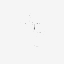 O=C1O[C@H](C(O)COP(=O)(O)O)[C@H](O)[C@H]1O